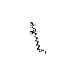 CCCCCCCCCC(=O)OCC=O